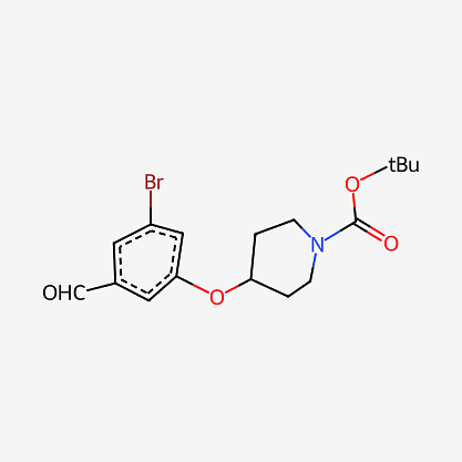 CC(C)(C)OC(=O)N1CCC(Oc2cc(Br)cc(C=O)c2)CC1